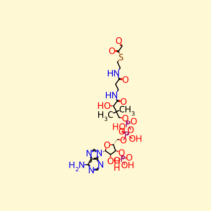 CC(C)(COP(=O)(O)OP(=O)(O)OC[C@H]1O[C@@H](n2cnc3c(N)ncnc32)[C@H](O)[C@@H]1OP(=O)(O)O)[C@@H](O)C(=O)NCCC(=O)NCCSC(=O)C=O